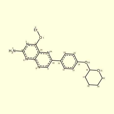 CCOc1nc(N)nc2ncc(-c3ccc(OC4CCCCO4)cc3)nc12